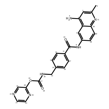 Cc1cc(N)c2cc(NC(=O)c3ccc(CNC(=O)Oc4cnccn4)cc3)ccc2n1